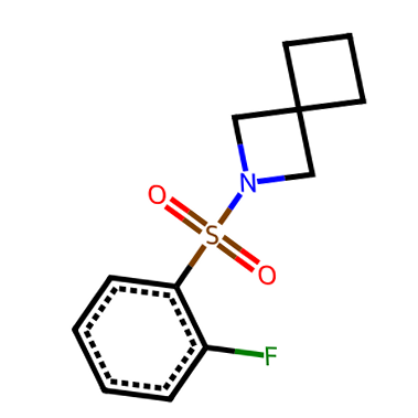 O=S(=O)(c1ccccc1F)N1CC2(CCC2)C1